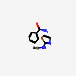 CC(=O)ONc1nccs1.NC(=O)c1ccccc1